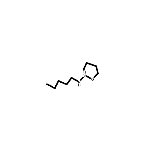 CCCCCN[SiH]1CCCCO1